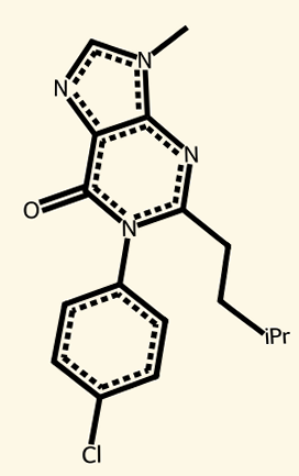 CC(C)CCc1nc2c(ncn2C)c(=O)n1-c1ccc(Cl)cc1